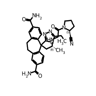 CCc1nnc(C2(C[C@@H](C)NCC(=O)N3CCC[C@H]3C#N)c3ccc(C(N)=O)cc3CCc3cc(C(N)=O)ccc32)o1